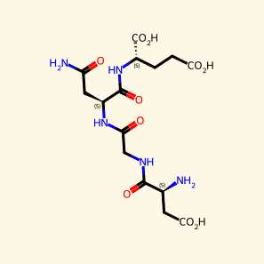 NC(=O)C[C@H](NC(=O)CNC(=O)[C@@H](N)CC(=O)O)C(=O)N[C@@H](CCC(=O)O)C(=O)O